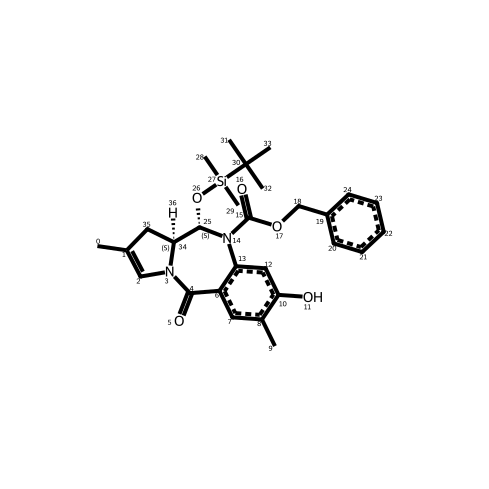 CC1=CN2C(=O)c3cc(C)c(O)cc3N(C(=O)OCc3ccccc3)[C@@H](O[Si](C)(C)C(C)(C)C)[C@@H]2C1